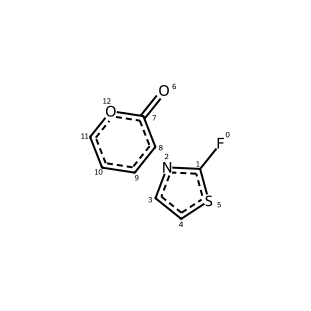 Fc1nccs1.O=c1cccco1